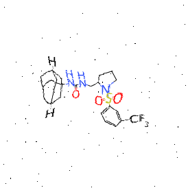 O=C(NCC1CCCN1S(=O)(=O)c1cccc(C(F)(F)F)c1)NC12CC3C[C@H](C1)C[C@@H](C3)C2